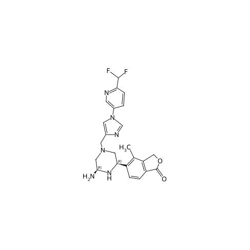 Cc1c([C@@H]2CN(Cc3cn(-c4ccc(C(F)F)nc4)cn3)C[C@H](N)N2)ccc2c1COC2=O